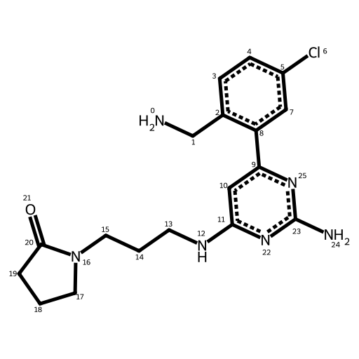 NCc1ccc(Cl)cc1-c1cc(NCCCN2CCCC2=O)nc(N)n1